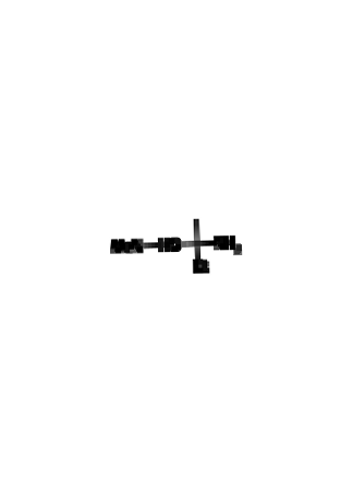 CCC(C)(N)O.CNC